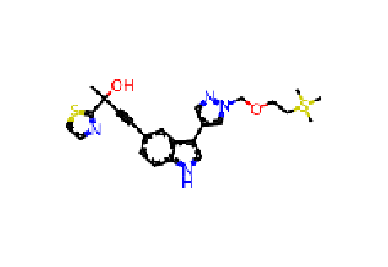 CC(O)(C#Cc1ccc2[nH]cc(-c3cnn(COCCS(C)(C)C)c3)c2c1)c1nccs1